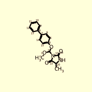 COC(Oc1ccc(-c2ccccc2)cc1)N1C(=O)NC(C)C1=O